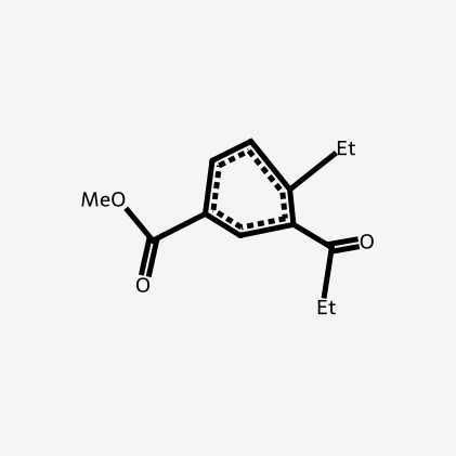 CCC(=O)c1cc(C(=O)OC)ccc1CC